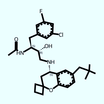 CC(=O)N[C@@H](Cc1cc(F)cc(Cl)c1)[C@H](O)CN[C@H]1CC2(CCC2)Oc2ccc(CC(C)(C)C)cc21